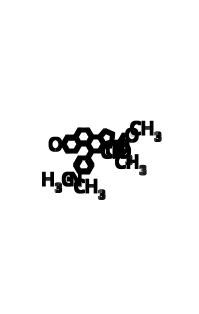 COCC(=O)[C@@]1(OC(C)=O)CCC2C3CCC4=CC(=O)CCC4=C3C(c3ccc(N(C)C)cc3)C[C@@]21C